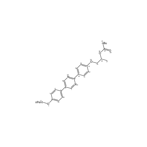 CCCCCOc1ccc(-c2cnc(-c3ccc(OCC(C)OC(=O)CCCC)cc3)nc2)cc1